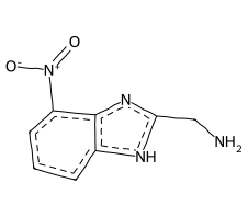 NCc1nc2c([N+](=O)[O-])cccc2[nH]1